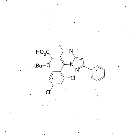 Cc1nc2cc(-c3ccccc3)nn2c(-c2ccc(Cl)cc2Cl)c1C(OC(C)(C)C)C(=O)O